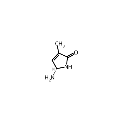 CC1=C[C@@H](N)NC1=O